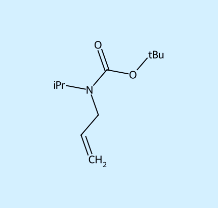 C=CCN(C(=O)OC(C)(C)C)C(C)C